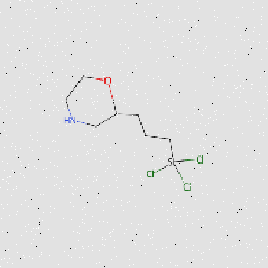 Cl[Si](Cl)(Cl)CCCC1CNCCO1